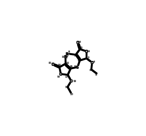 CCOC1OC(=O)C(Br)=C1SC1=C(Br)C(=O)OC1OCC